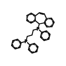 C1=Cc2ccccc2C(P(CCCP(c2ccccc2)c2ccccc2)c2ccccc2)c2ccccc21